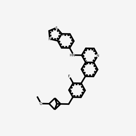 COC1C2CC1C2Cc1ccc(-c2ccc3nccc(Nc4ccc5scnc5c4)c3c2)c(F)c1